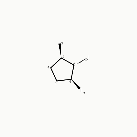 C[C@H]1[C@H](C)CC[C@@H]1I